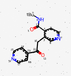 CC(C)(C)NC(=O)c1ccncc1CC(=O)c1ccncc1